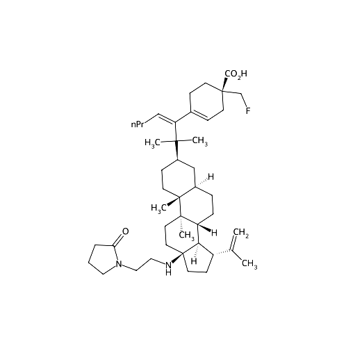 C=C(C)[C@@H]1CC[C@]2(NCCN3CCCC3=O)CC[C@]3(C)[C@H](CC[C@@H]4C[C@H](C(C)(C)/C(=C\CCC)C5=CC[C@](CF)(C(=O)O)CC5)CC[C@]43C)[C@@H]12